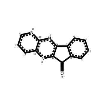 O=C1c2ccccc2-c2nc3ncccc3nc21